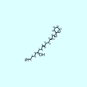 CC(C)CCCCC(O)CCC=CCCC=CCOC1CCCCO1